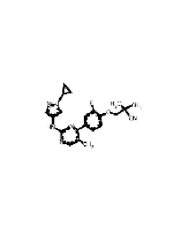 Cc1cnc(Nc2cnn(C3CC3)c2)nc1-c1ccc(OCC(C)(C)C#N)c(F)c1